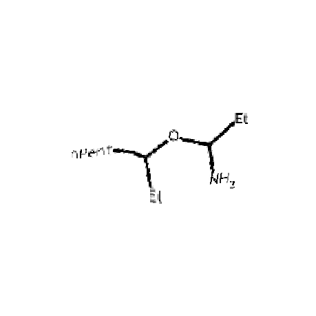 CCCCCC(CC)OC(N)CC